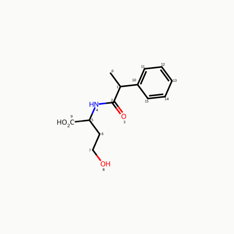 CC(C(=O)NC(CCO)C(=O)O)c1ccccc1